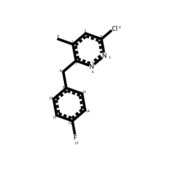 Cc1cc(Cl)nnc1Cc1ccc(F)cc1